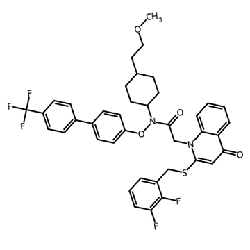 COCCC1CCC(N(Oc2ccc(-c3ccc(C(F)(F)F)cc3)cc2)C(=O)Cn2c(SCc3cccc(F)c3F)cc(=O)c3ccccc32)CC1